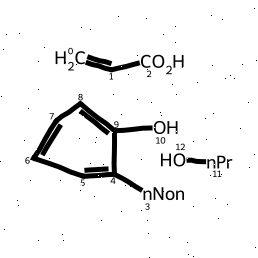 C=CC(=O)O.CCCCCCCCCc1ccccc1O.CCCO